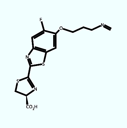 C=NCCCOc1cc2sc(C3=N[C@@H](C(=O)O)CS3)nc2cc1F